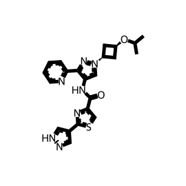 CC(C)O[C@H]1C[C@H](n2cc(NC(=O)c3csc(-c4cn[nH]c4)n3)c(-c3ccccn3)n2)C1